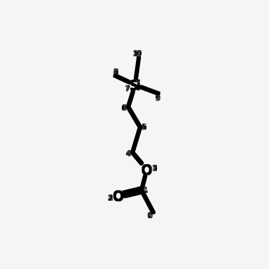 CC(=O)OCCC[Si](C)(C)C